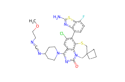 COCCN=C=NC1CCN(c2nc(=O)n3c4c(c(-c5ccc(F)c6sc(N)nc56)c(Cl)cc24)SCC2(CCC2)C3)CC1